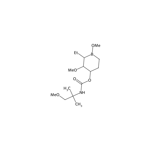 CCC1B(OC)CCC(OC(=O)NC(C)(C)COC)C1OC